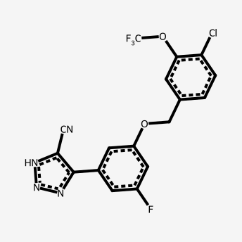 N#Cc1[nH]nnc1-c1cc(F)cc(OCc2ccc(Cl)c(OC(F)(F)F)c2)c1